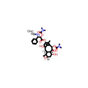 CC1=C2[C@@H](OC(=O)N(C)C)C(=O)[C@@]3(C)[C@H]([C@H](C)[C@](O)(C[C@@H]1OC(=O)[C@H](OC(=O)N(C)C)[C@@H](NBC=O)c1ccccc1)C2(C)C)[C@]1(C)CO[C@@H]1C[C@@H]3O